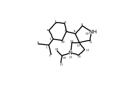 CC(C)C1CCCC(C2CNCC23CCN(C(C)C)C3)C1